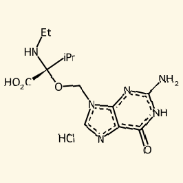 CCN[C@](OCn1cnc2c(=O)[nH]c(N)nc21)(C(=O)O)C(C)C.Cl